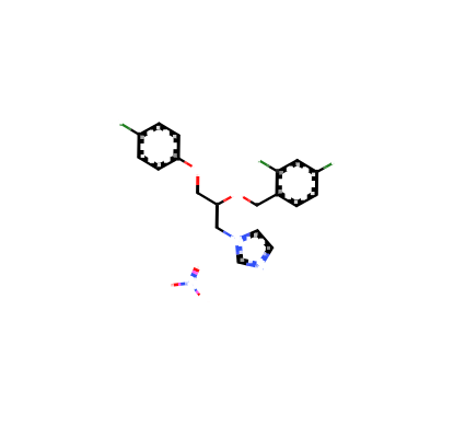 Clc1ccc(OCC(Cn2ccnc2)OCc2ccc(Cl)cc2Cl)cc1.O=[N+]([O-])O